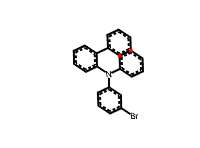 Brc1cccc(N(c2ccccc2)c2ccccc2-c2ccccc2)c1